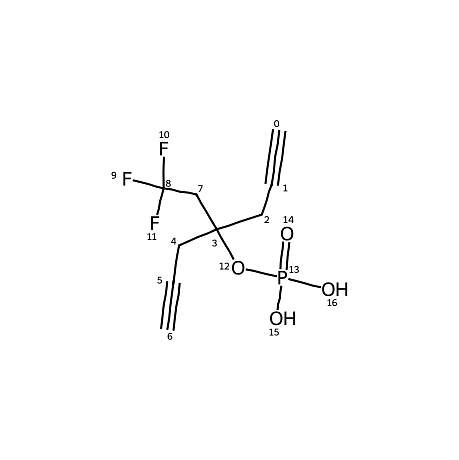 C#CCC(CC#C)(CC(F)(F)F)OP(=O)(O)O